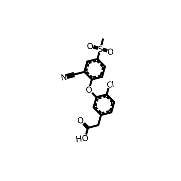 CS(=O)(=O)c1ccc(Oc2cc(CC(=O)O)ccc2Cl)c(C#N)c1